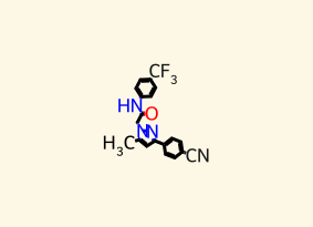 Cc1cc(-c2ccc(C#N)cc2)nn1CC(=O)Nc1ccc(C(F)(F)F)cc1